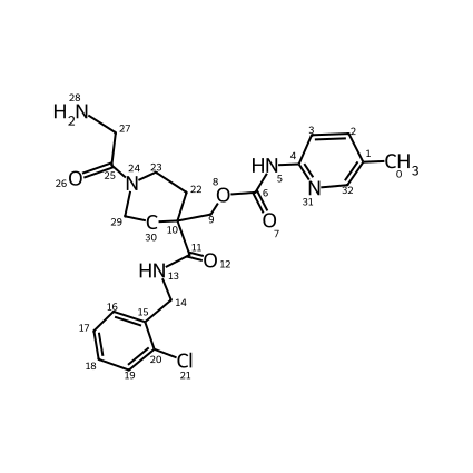 Cc1ccc(NC(=O)OCC2(C(=O)NCc3ccccc3Cl)CCN(C(=O)CN)CC2)nc1